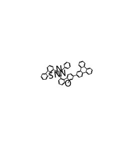 c1ccc(-c2nc(-c3cccc4c3sc3ccccc34)nc(-c3cccc4oc5cc(-c6ccc7c8ccccc8c8ccccc8c7c6)ccc5c34)n2)cc1